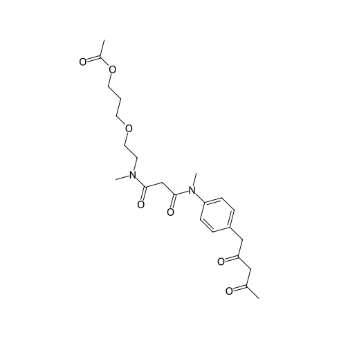 CC(=O)CC(=O)Cc1ccc(N(C)C(=O)CC(=O)N(C)CCOCCCOC(C)=O)cc1